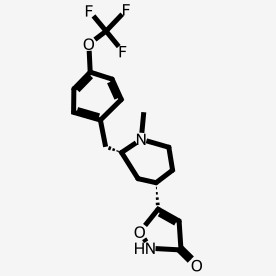 CN1CC[C@H](c2cc(=O)[nH]o2)C[C@@H]1Cc1ccc(OC(F)(F)F)cc1